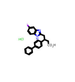 Cl.O=C(O)CC(Cc1nc2cc(I)ccc2[nH]1)c1ccc(-c2ccccc2)cc1